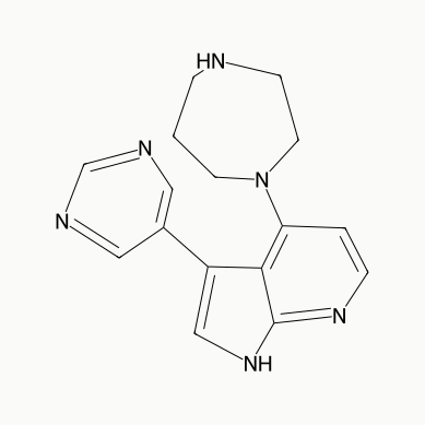 c1ncc(-c2c[nH]c3nccc(N4CCCNCC4)c23)cn1